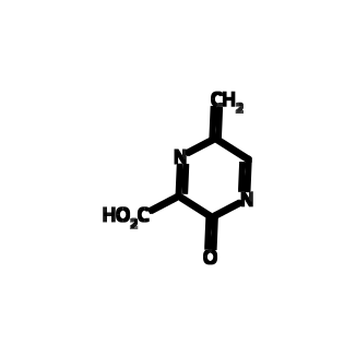 C=C1C=NC(=O)C(C(=O)O)=N1